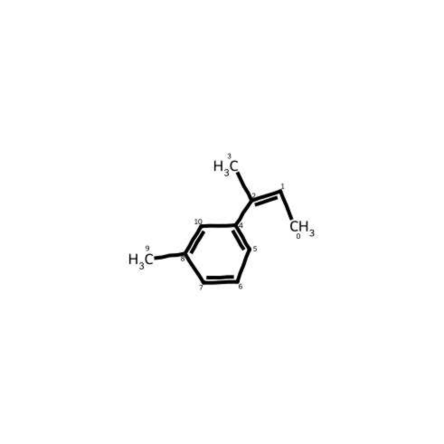 C/C=C(/C)c1cccc(C)c1